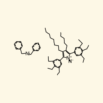 CCCCCCCCC1=C(c2cc(CC)c(CC)c(CC)c2)[N+](=[N-])C(c2cc(CC)c(CC)c(CC)c2)=C1CCCCC.c1ccc([CH2][Ni][CH2]c2ccccc2)cc1